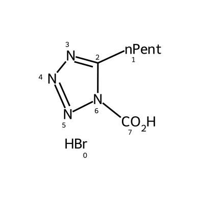 Br.CCCCCc1nnnn1C(=O)O